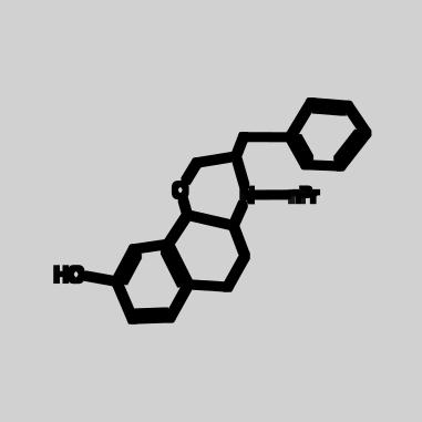 CCCN1C(Cc2ccccc2)COC2c3cc(O)ccc3CCC21